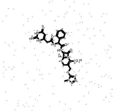 Cn1nnnc1SCC1=C(C(=O)O)N2C(=O)C(NC(=O)C(NC(=O)Cc3cc(=O)[nH]c(=N)[nH]3)c3ccccc3)[C@@H]2SC1